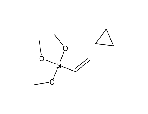 C1CC1.C=C[Si](OC)(OC)OC